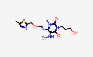 CCNc1c(/N=C/OCc2ncc(C)s2)n(C)c(=O)n(CCCO)c1=O